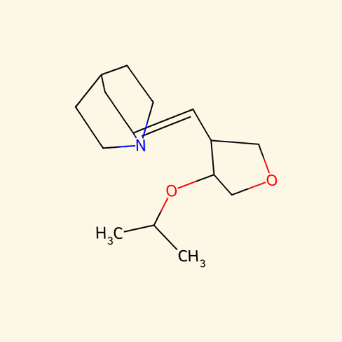 CC(C)OC1COCC1C=C1CC2CCN1CC2